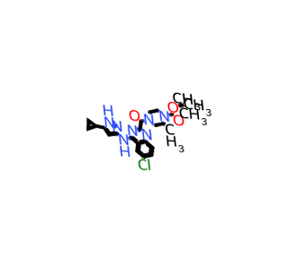 CC1CN(C(=O)c2nc(Nc3cc(C4CC4)[nH]n3)c3cc(Cl)ccc3n2)CCN1C(=O)OC(C)(C)C